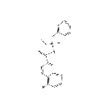 CCC(C)(Cc1ccccc1)NC(=O)c1cnc2c(F)cccc2c1